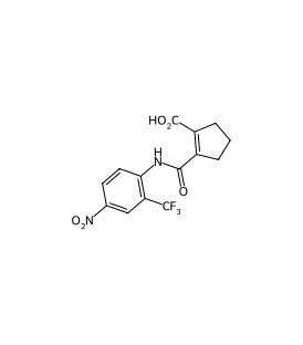 O=C(O)C1=C(C(=O)Nc2ccc([N+](=O)[O-])cc2C(F)(F)F)CCC1